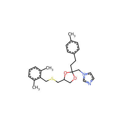 Cc1ccc(CCC2(Cn3ccnc3)OCC(CSCc3c(C)cccc3C)O2)cc1